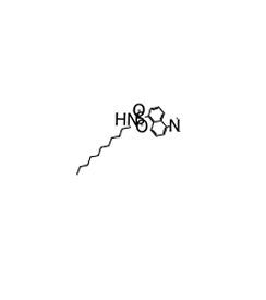 CCCCCCCCCCCNS(=O)(=O)c1cccc2c(N(C)C)cccc12